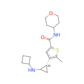 Cc1sc(C(=O)NC2CCOCC2)cc1[C@@H]1CC1NC1CCC1